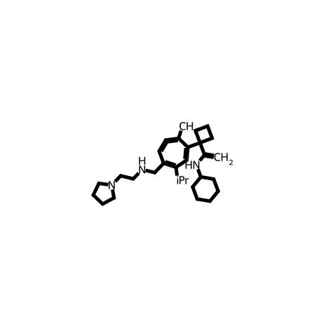 C=C(NC1CCCCC1)C1(C2=CC(C(C)C)=C(CNCCN3CCCC3)C=C=C2C)CCC1